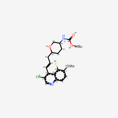 COc1ccc2ncc(Cl)c(C=CCC3CCC(NC(=O)OC(C)(C)C)CO3)c2c1F